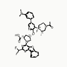 CC(=O)N1CC[C@](F)(c2cc(-c3cccc(N(C)C)c3)cnc2O[C@H]2C[C@@H](C(=O)O)N(c3nc(C(F)F)nc4c3oc3ccccc34)C2)[C@@H](C)C1